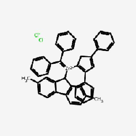 Cc1ccc2c(c1)[CH]([Zr+2]([C]1=C(c3ccccc3)C=C(c3ccccc3)C1)=[C](c1ccccc1)c1ccccc1)c1cc(C)ccc1-2.[Cl-].[Cl-]